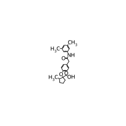 Cc1cc(C)cc(NC(=O)Cc2ccc(OC3(C(=O)O)CCCC3C)cc2)c1